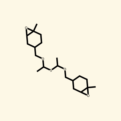 CC(OCC1CCC2(C)OC2C1)SC(C)OCC1CCC2(C)OC2C1